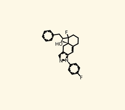 C[C@]12Cc3cnn(-c4ccc(F)cc4)c3C=C1CCCC2(F)[C@@H](O)Cc1ccccc1